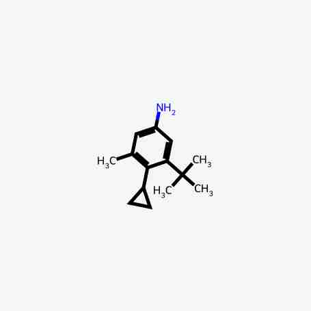 Cc1cc(N)cc(C(C)(C)C)c1C1CC1